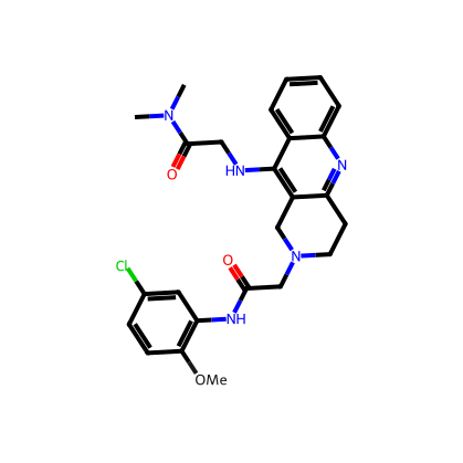 COc1ccc(Cl)cc1NC(=O)CN1CCc2nc3ccccc3c(NCC(=O)N(C)C)c2C1